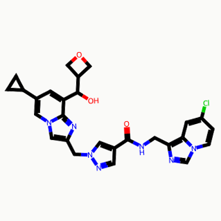 O=C(NCc1ncn2ccc(Cl)cc12)c1cnn(Cc2cn3cc(C4CC4)cc(C(O)C4COC4)c3n2)c1